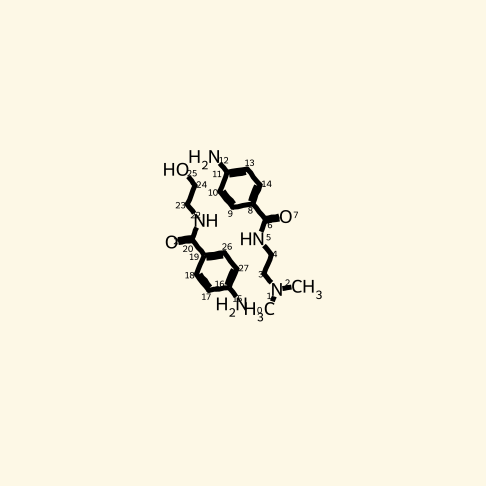 CN(C)CCNC(=O)c1ccc(N)cc1.Nc1ccc(C(=O)NCCO)cc1